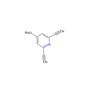 C#Cc1cc(OC)cc(C#C)n1